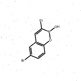 CCC1=Cc2cc(Br)ccc2OB1O